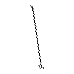 C[Si](Cl)(Cl)CCCCCCCCCCCCCCCCCCCCCCCCCCCCCCCCCCCCCCN=C=O